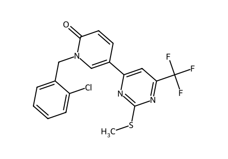 CSc1nc(-c2ccc(=O)n(Cc3ccccc3Cl)c2)cc(C(F)(F)F)n1